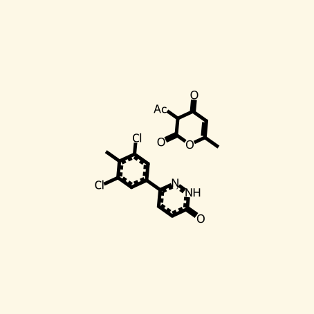 CC(=O)C1C(=O)C=C(C)OC1=O.Cc1c(Cl)cc(-c2ccc(=O)[nH]n2)cc1Cl